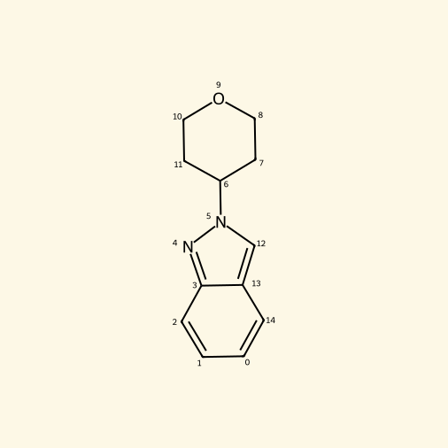 c1ccc2nn(C3CCOCC3)cc2c1